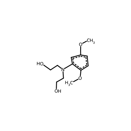 COc1ccc(OC)c(N(CCO)CCO)c1